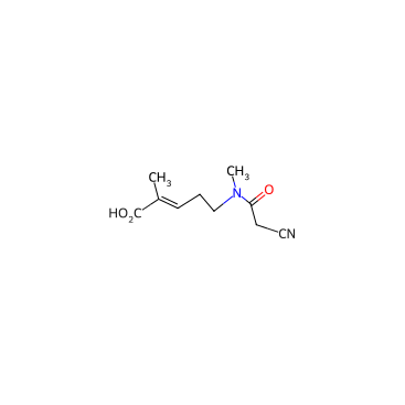 CC(=CCCN(C)C(=O)CC#N)C(=O)O